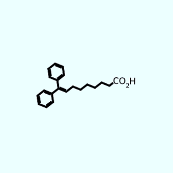 O=C(O)CCCCCCC=C(c1ccccc1)c1ccccc1